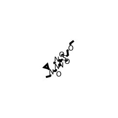 CCOCCS(=O)(=O)c1ncn(C(=O)N(CC)C2CC2)n1